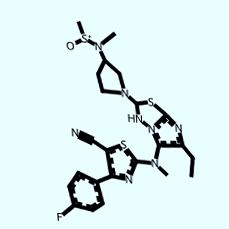 CCc1nc2n(c1N(C)c1nc(-c3ccc(F)cc3)c(C#N)s1)NC(N1CCC(N(C)[S+](C)[O-])C1)S2